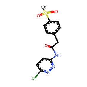 CCS(=O)(=O)c1ccc(CC(=O)Nc2ccc(Cl)nn2)cc1